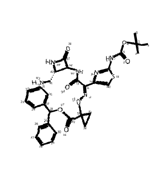 CC(C)(C)OC(=O)Nc1nc(/C(=N/OC2(C(=O)OC(c3ccccc3)c3ccccc3)CC2)C(=O)NC2C(=O)N[C@H]2CN)cs1